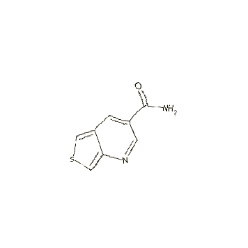 NC(=O)c1cnc2cscc2c1